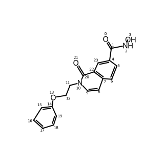 O=C(NO)c1ccc2ccn(CCOc3ccccc3)c(=O)c2c1